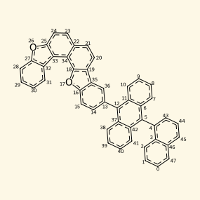 c1ccc2c(-c3c4ccccc4c(-c4ccc5oc6c(ccc7ccc8oc9ccccc9c8c76)c5c4)c4ccccc34)cccc2c1